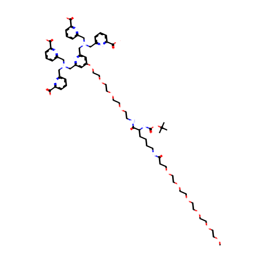 COCCOCCOCCOCCOCCOCCC(=O)NCCCCC(NC(=O)OC(C)(C)C)C(=O)NCCOCCOCCOCCOc1cc(CN(Cc2cccc(C(=O)O)n2)Cc2cccc(C(=O)O)n2)nc(CN(Cc2cccc(C(=O)O)n2)Cc2cccc(C(=O)O)n2)c1